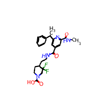 CNC(=O)c1cc(C(=O)NCCC2CCN(C(=O)O)CC2(F)F)cc(C(C)c2ccccc2)n1